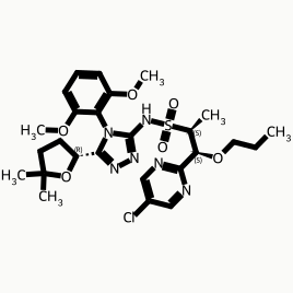 CCCO[C@@H](c1ncc(Cl)cn1)[C@H](C)S(=O)(=O)Nc1nnc([C@H]2CCC(C)(C)O2)n1-c1c(OC)cccc1OC